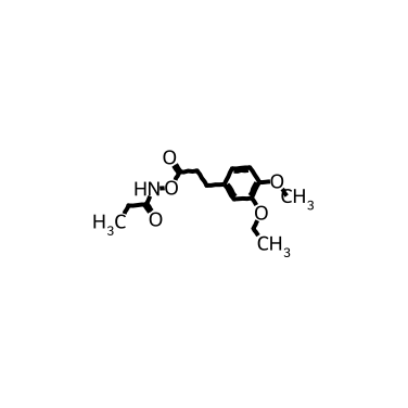 CCOc1cc(CCC(=O)ONC(=O)CC)ccc1OC